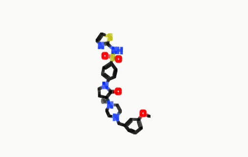 COc1cccc(CN2CCN([C@H]3CCN(c4ccc(S(=O)(=O)Nc5nccs5)cc4)C3=O)CC2)c1